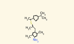 C=C(S/C=C(\C)Cc1cc(C)c(N)cc1C)c1ccc(C(C)C)cc1